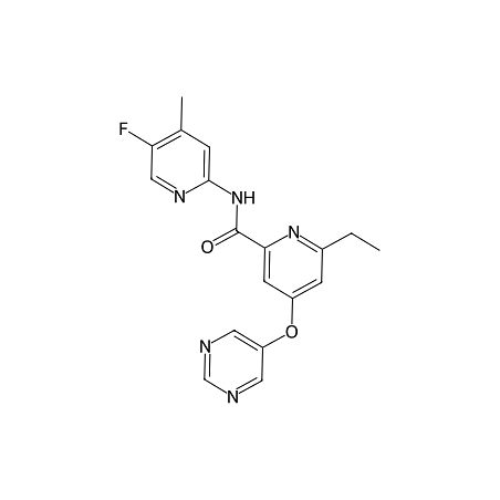 CCc1cc(Oc2cncnc2)cc(C(=O)Nc2cc(C)c(F)cn2)n1